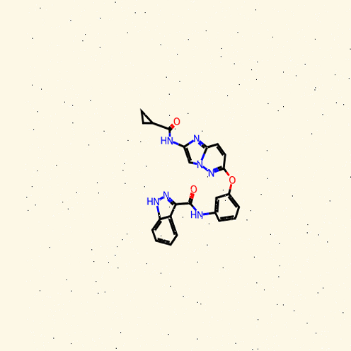 O=C(Nc1cccc(Oc2ccc3nc(NC(=O)C4CC4)cn3n2)c1)c1n[nH]c2ccccc12